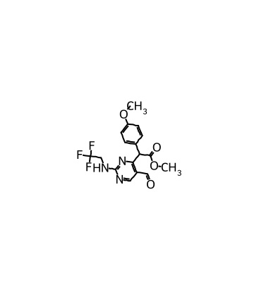 COC(=O)C(c1ccc(OC)cc1)c1nc(NCC(F)(F)F)ncc1C=O